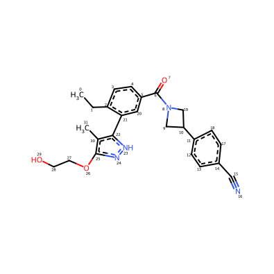 CCc1ccc(C(=O)N2CC(c3ccc(C#N)cc3)C2)cc1-c1[nH]nc(OCCO)c1C